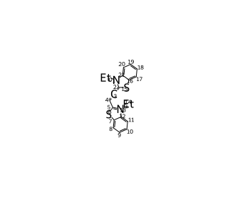 CCN1C(=C=Cc2sc3ccccc3[n+]2CC)Sc2ccccc21